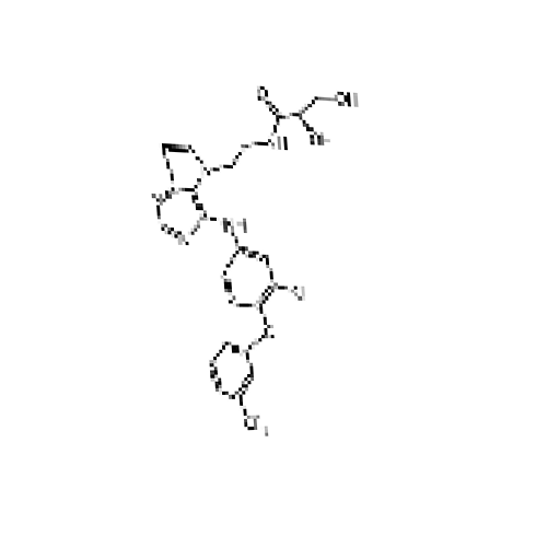 O=C(NCCn1ccc2ncnc(Nc3ccc(Oc4cccc(C(F)(F)F)c4)c(Cl)c3)c21)[C@H](O)CO